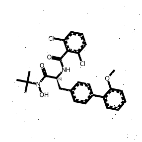 COc1ccccc1-c1ccc(C[C@H](NC(=O)c2c(Cl)cccc2Cl)C(=O)N(O)C(C)(C)C)cc1